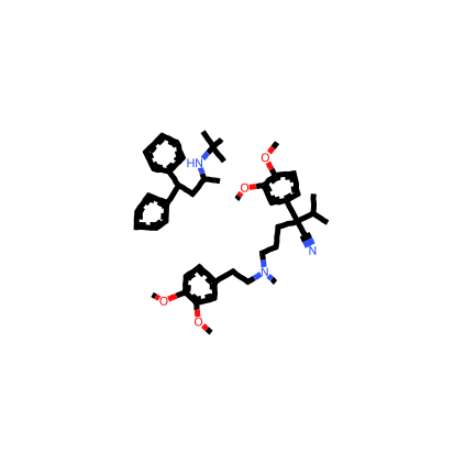 CC(CC(c1ccccc1)c1ccccc1)NC(C)(C)C.COc1ccc(CCN(C)CCCC(C#N)(c2ccc(OC)c(OC)c2)C(C)C)cc1OC